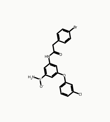 N[S+]([O-])c1cc(NC(=O)Cc2ccc(Br)cc2)cc(Oc2cccc(Cl)c2)c1